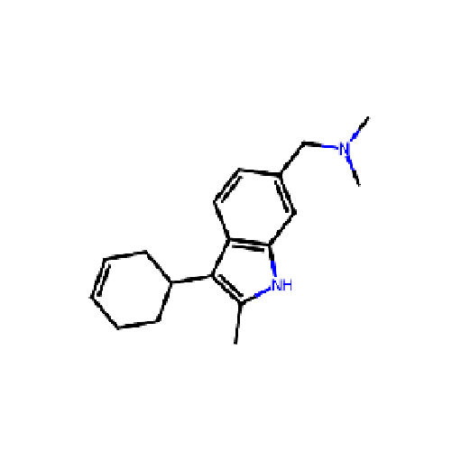 Cc1[nH]c2cc(CN(C)C)ccc2c1C1CC=CCC1